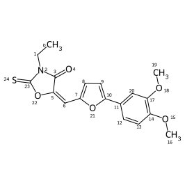 CCN1C(=O)/C(=C\c2ccc(-c3ccc(OC)c(OC)c3)o2)OC1=S